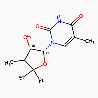 CCC1(CC)O[C@@H](n2cc(C)c(=O)[nH]c2=O)[C@@H](O)C1C